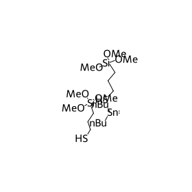 CCC[CH2][Sn][CH2]CCC.CO[Si](CCCS)(OC)OC.CO[Si](CCCS)(OC)OC